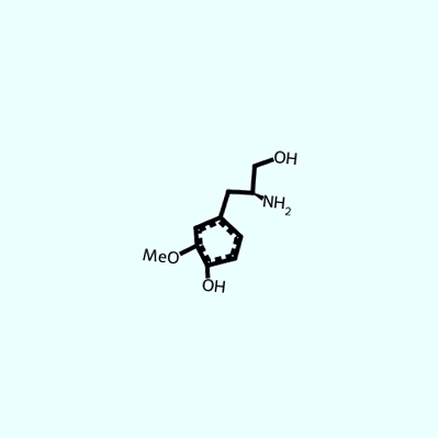 COc1cc(C[C@H](N)CO)ccc1O